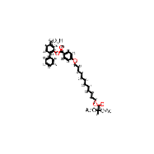 CC(=O)OC(C)(OC(C)=O)C(=O)OCCCCCCCCCCCCOc1ccc(C(=O)Oc2cc(C(=O)O)ccc2-c2ccccc2)cc1